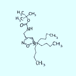 CCC[CH2][Sn]([CH2]CCC)([CH2]CCC)[c]1cc(CNC(=O)OC(C)(C)C)no1